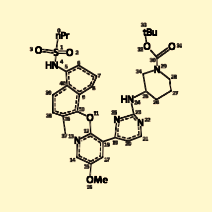 CCCS(=O)(=O)Nc1cccc2c(Oc3ncc(OC)cc3-c3ccnc(NC4CCCN(C(=O)OC(C)(C)C)C4)n3)c(C)ccc12